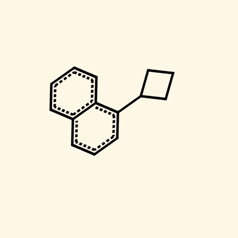 c1ccc2c(C3CCC3)cccc2c1